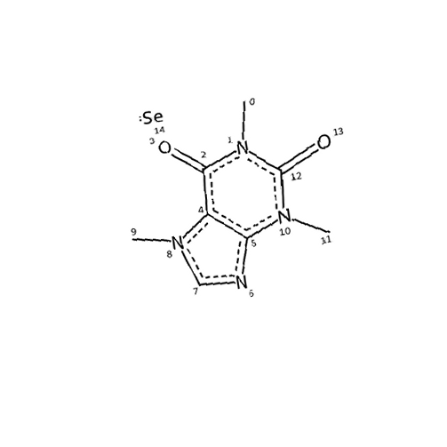 Cn1c(=O)c2c(ncn2C)n(C)c1=O.[Se]